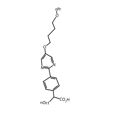 CCCCCCCCC(C(=O)O)c1ccc(-c2ncc(OCCCCOCCC)cn2)cc1